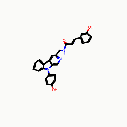 O=C(/C=C/c1cccc(O)c1)NCc1cc2c3ccccc3n(-c3ccc(O)cc3)c2cn1